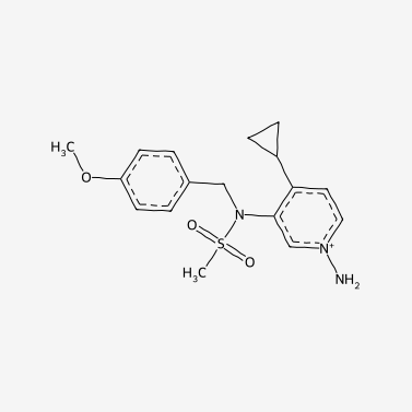 COc1ccc(CN(c2c[n+](N)ccc2C2CC2)S(C)(=O)=O)cc1